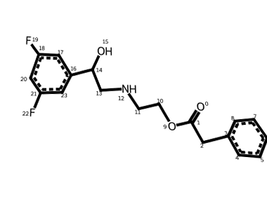 O=C(Cc1ccccc1)OCCNCC(O)c1cc(F)cc(F)c1